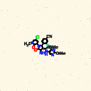 COc1ncc(N/C(=C2\C(=N)C(=O)N(c3cc(Cl)cn(C)c3=O)C2c2ccc(C#N)cc2F)C(C)C)c(OC)n1